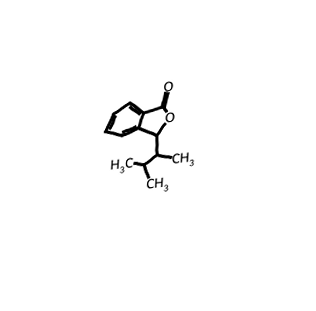 CC(C)C(C)C1OC(=O)c2ccccc21